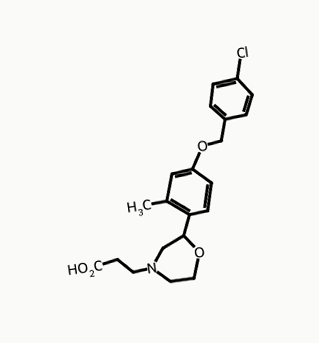 Cc1cc(OCc2ccc(Cl)cc2)ccc1C1CN(CCC(=O)O)CCO1